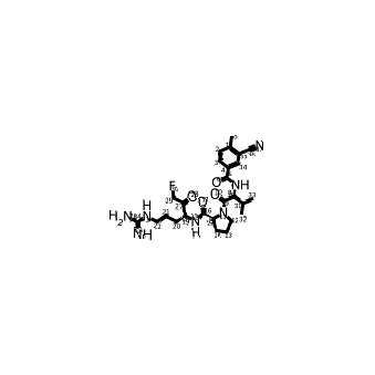 Cc1ccc(C(=O)N[C@H](C(=O)N2CCC[C@H]2C(=O)N[C@@H](CCCNC(=N)N)C(=O)CF)C(C)C)cc1C#N